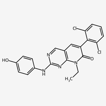 CCn1c(=O)c(-c2c(Cl)cccc2Cl)cc2cnc(Nc3ccc(O)cc3)nc21